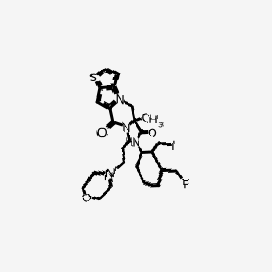 CC1(C(=O)NC2CCCC(CF)C2CI)Cn2c(cc3sccc32)C(=O)N1CCCN1CCOCC1